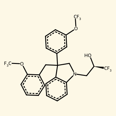 O[C@H](CN1CC(Cc2ccccc2OC(F)(F)F)(c2cccc(OC(F)(F)F)c2)c2ccccc21)C(F)(F)F